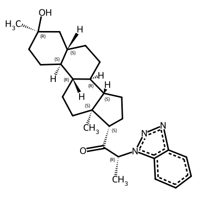 C[C@H](C(=O)[C@H]1CC[C@H]2[C@@H]3CC[C@H]4C[C@](C)(O)CC[C@@H]4[C@H]3CC[C@]12C)n1nnc2ccccc21